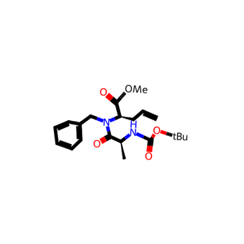 C=CC[C@H](C(=O)OC)N(Cc1ccccc1)C(=O)[C@H](C)NC(=O)OC(C)(C)C